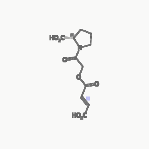 O=C(O)/C=C/C(=O)OCC(=O)N1CCC[C@H]1C(=O)O